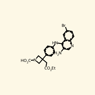 CCOC(=O)CC1(c2ccc(Nc3c(N)cnc4ccc(Br)cc34)cc2)CN(C(=O)O)C1